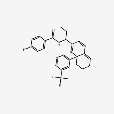 CCC(NC(=O)c1ccc(F)cc1)C1=NC2(c3cncc(C(F)(F)F)c3)CCCC=C2C=C1